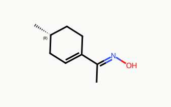 CC(=NO)C1=CC[C@H](C)CC1